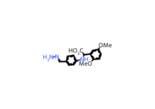 COc1ccc(OC)c(C(Nc2ccc(C=NN)cc2)C(=O)O)c1